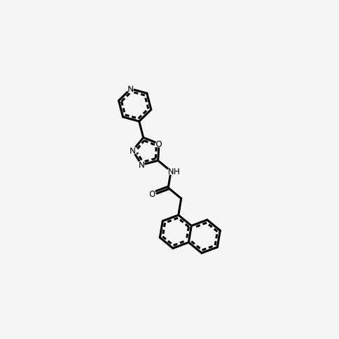 O=C(Cc1cccc2ccccc12)Nc1nnc(-c2ccncc2)o1